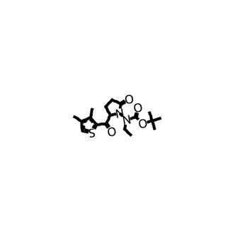 CCN(C(=O)OC(C)(C)C)N1C(=O)CCC1C(=O)c1scc(C)c1C